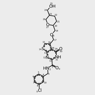 O=C(NCc1cccc(Cl)c1)c1nc2scc(COCC3CCC(CO)CO3)c2c(=O)[nH]1